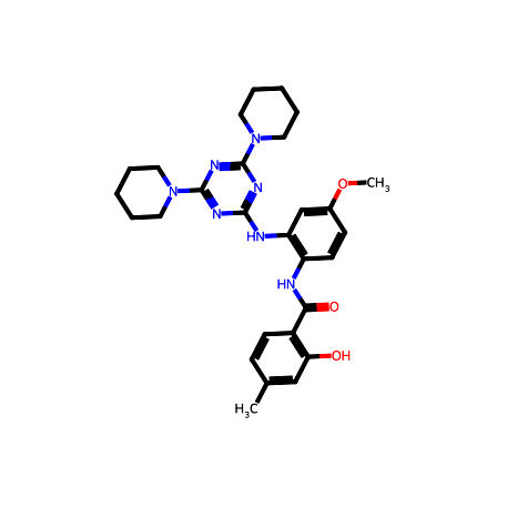 COc1ccc(NC(=O)c2ccc(C)cc2O)c(Nc2nc(N3CCCCC3)nc(N3CCCCC3)n2)c1